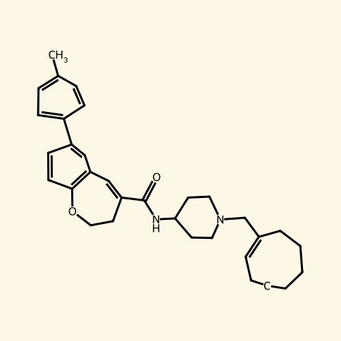 Cc1ccc(-c2ccc3c(c2)C=C(C(=O)NC2CCN(CC4=CCCCCCC4)CC2)CCO3)cc1